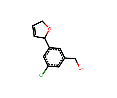 OCc1cc(Cl)cc(C2C=CCO2)c1